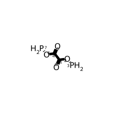 O=C(OP)C(=O)OP